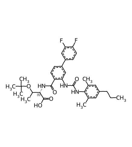 CCCc1cc(C)c(NC(=O)Nc2cc(-c3ccc(F)c(F)c3)ccc2C(=O)N[C@H](C(=O)O)C(C)OC(C)(C)C)c(C)c1